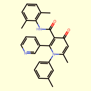 Cc1cccc(-n2c(C)cc(=O)c(C(=O)Nc3c(C)cccc3C)c2-c2cccnc2)c1